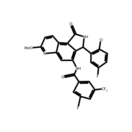 COc1ccc2c3c(c(NC(=O)c4cc(F)cc(C(F)(F)F)c4)cc2n1)C(c1cc(F)ccc1Cl)NC3=O